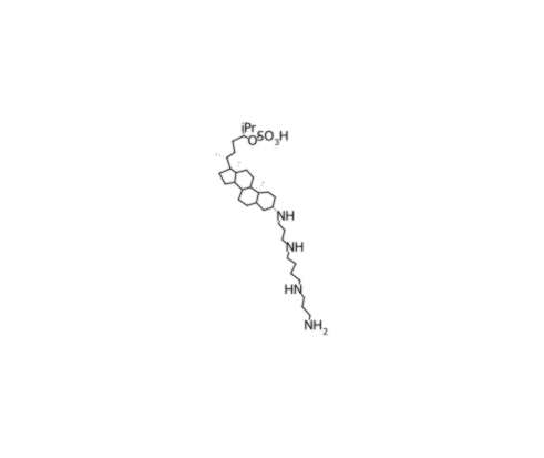 CC(C)[C@@H](CC[C@@H](C)C1CCC2C3CCC4C[C@@H](NCCCNCCCCNCCCN)CC[C@]4(C)C3CC[C@@]21C)OS(=O)(=O)O